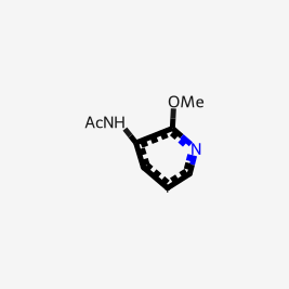 COc1nc[c]cc1NC(C)=O